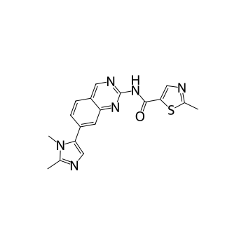 Cc1ncc(C(=O)Nc2ncc3ccc(-c4cnc(C)n4C)cc3n2)s1